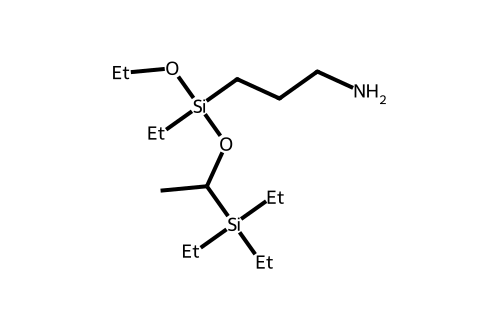 CCO[Si](CC)(CCCN)OC(C)[Si](CC)(CC)CC